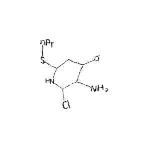 CCCSC1CC(Cl)C(N)C(Cl)N1